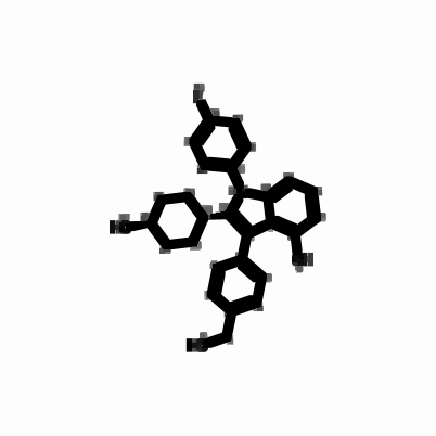 OCc1ccc(-c2c3c(O)cccc3n(-c3ccc(F)cc3)c2[C@H]2CC[C@H](O)CC2)cc1